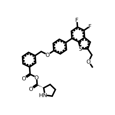 COCc1cc2c(F)c(F)cc(-c3ccc(OCc4cccc(C(=O)OC(=O)[C@@H]5CCCN5)c4)cc3)c2s1